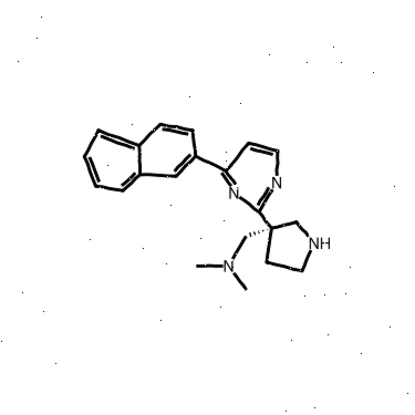 CN(C)C[C@@]1(c2nccc(-c3ccc4ccccc4c3)n2)CCNC1